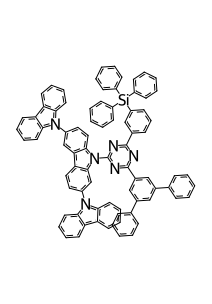 c1ccc(-c2cc(-c3ccccc3)cc(-c3nc(-c4cccc([Si](c5ccccc5)(c5ccccc5)c5ccccc5)c4)nc(-n4c5ccc(-n6c7ccccc7c7ccccc76)cc5c5ccc(-n6c7ccccc7c7ccccc76)cc54)n3)c2)cc1